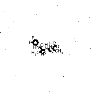 Cc1ncc(Nc2snc(C)c2C(=O)Nc2ccc(F)c(F)c2)nc1C(=O)O